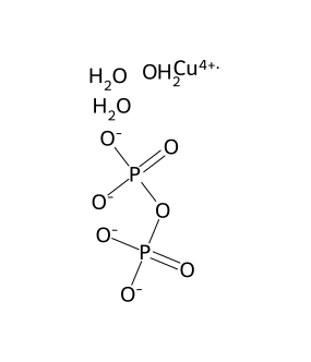 O.O.O.O=P([O-])([O-])OP(=O)([O-])[O-].[Cu+4]